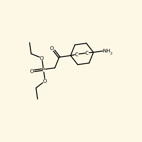 CCOP(=O)(CC(=O)C12CCC(N)(CC1)CC2)OCC